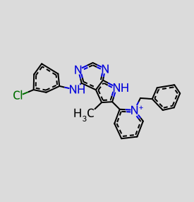 Cc1c(-c2cccc[n+]2Cc2ccccc2)[nH]c2ncnc(Nc3cccc(Cl)c3)c12